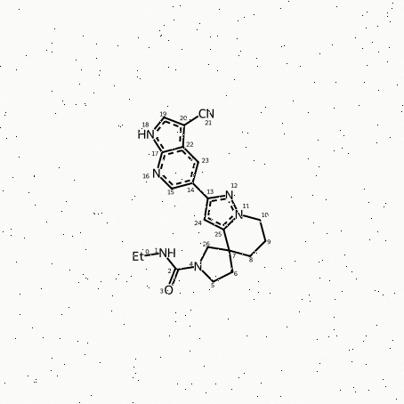 CCNC(=O)N1CCC2(CCCn3nc(-c4cnc5[nH]cc(C#N)c5c4)cc32)C1